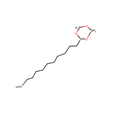 CCCCCCCCCCCCCCCCCCCC[SiH]1O[SiH2]O[SiH2]O1